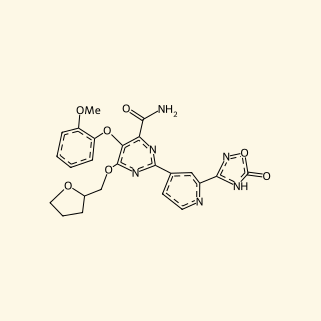 COc1ccccc1Oc1c(OCC2CCCO2)nc(-c2ccnc(-c3noc(=O)[nH]3)c2)nc1C(N)=O